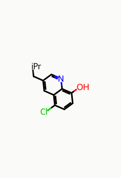 CC(C)Cc1cnc2c(O)ccc(Cl)c2c1